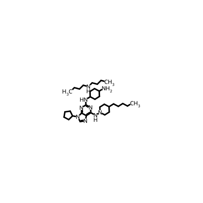 CCCCCC1CCN(Nc2nc(NC3CCC(N)CC3)nc3c2ncn3C2CCCC2)CC1.CCCCNCCCC